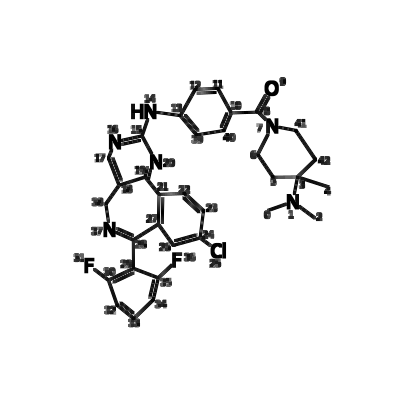 CN(C)C1(C)CCN(C(=O)c2ccc(Nc3ncc4c(n3)-c3ccc(Cl)cc3C(c3c(F)cccc3F)=NC4)cc2)CC1